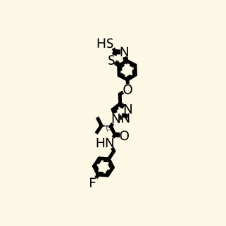 CC(C)[C@@H](C(=O)NCc1ccc(F)cc1)n1cc(COc2ccc3nc(S)sc3c2)nn1